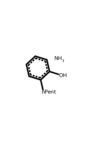 CCCCCc1ccccc1O.N